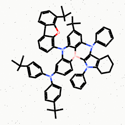 CC(C)(C)c1ccc(N(c2ccc(C(C)(C)C)cc2)c2ccc3c(c2)N(c2cccc4c2oc2c(C(C)(C)C)cccc24)c2cc(C(C)(C)C)cc4c2B3c2c(c3c(n2-c2ccccc2)CCCC3)N4c2ccccc2)cc1